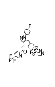 Cn1ccc(S(=O)(=O)C2(F)CCC(=Cc3c(CCC(=O)c4ccc(C(F)(F)F)cn4)cnn3-c3ccc(F)cc3)CC2)n1